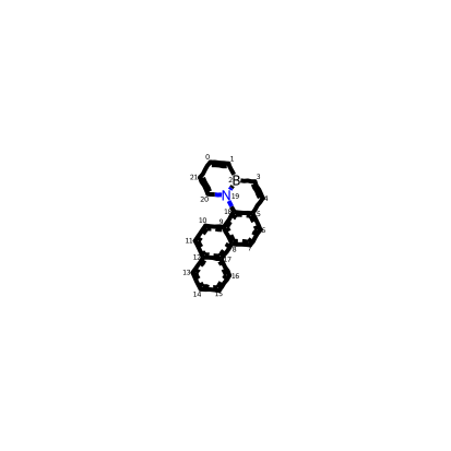 C1=CB2C=Cc3ccc4c(ccc5ccccc54)c3N2C=C1